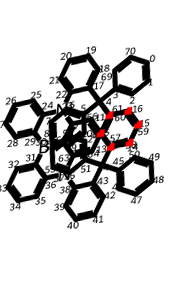 c1ccc(C(c2ccccc2)(c2ccccc2)c2ccccc2N2c3ccccc3B3c4ccccc4N(c4ccccc4C(c4ccccc4)(c4ccccc4)c4ccccc4)c4cccc2c43)cc1